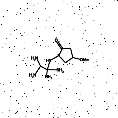 COC1CC(=O)N(NC(N)(N)C(N)N)C1